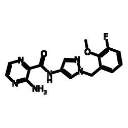 COc1c(F)cccc1Cn1cc(NC(=O)c2nccnc2N)cn1